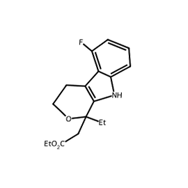 CCOC(=O)CC1(CC)OCCc2c1[nH]c1cccc(F)c21